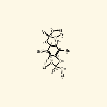 CCOP(=O)(OCC)Oc1c(F)c(C(C)(C)C)c(OP(=O)(OCC)OCC)c(F)c1C(C)(C)C